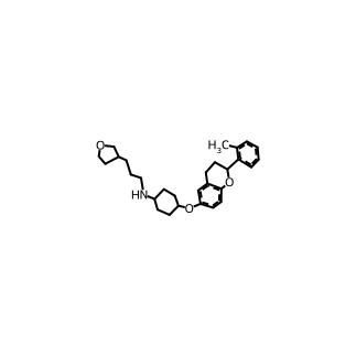 Cc1ccccc1C1CCc2cc(OC3CCC(NCCCC4CCOC4)CC3)ccc2O1